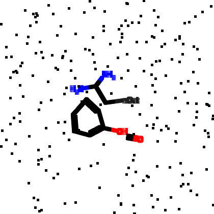 C=O.CCCCCCCCCC(N)N.Oc1ccccc1